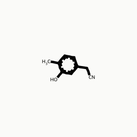 Cc1ccc(CC#N)cc1O